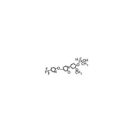 COc1cc(-n2ccc(COc3ccc(C(F)(F)F)cn3)cc2=O)ccc1OCC(C)(C)O